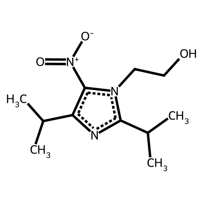 CC(C)c1nc(C(C)C)n(CCO)c1[N+](=O)[O-]